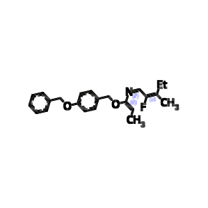 C/C=C(/N=C\C(F)=C(\C)CC)OCc1ccc(OCc2ccccc2)cc1